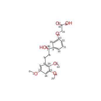 COc1cc(CC[C@@H](O)c2cccc(OCC(=O)O)c2)c(OC)c(OC)c1